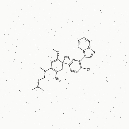 COC1=CC(N(C)CCN(C)C)=C(N)CC1(N)c1ncc(Cl)c(-c2cnn3ccccc23)n1